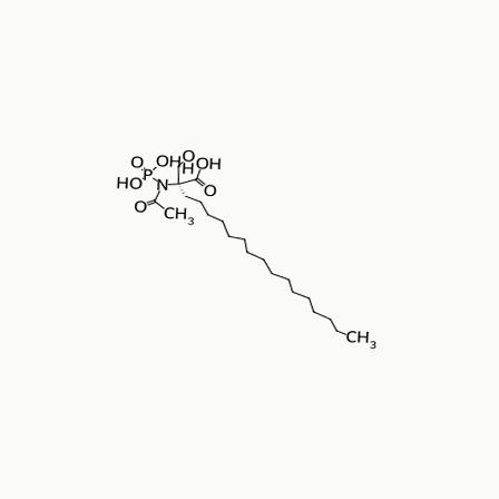 CCCCCCCCCCCCCCCC[C@](CO)(C(=O)O)N(C(C)=O)P(=O)(O)O